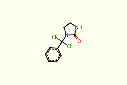 O=C1NCCN1C(Cl)(Cl)c1ccccc1